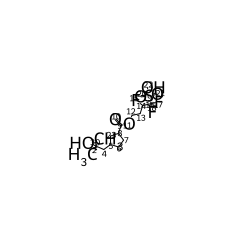 CC(C)(O)CC1CCC(C(=O)OCCC(F)C(F)(F)S(=O)(=O)O)C1